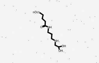 CCCCCCCCCCCC(=O)NCCCNCC(O)O